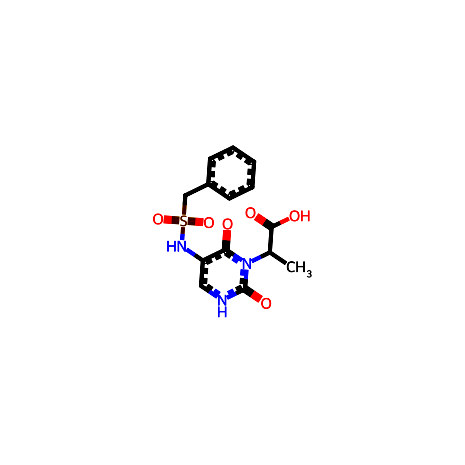 CC(C(=O)O)n1c(=O)[nH]cc(NS(=O)(=O)Cc2ccccc2)c1=O